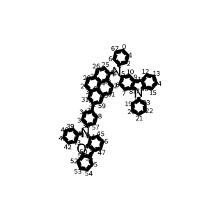 c1ccc(N(c2ccc3c(c2)c2ccccc2n3-c2ccccc2)c2ccc3ccc4cc(-c5ccc(N(c6ccccc6)c6cccc7c6oc6ccccc67)cc5)cc5ccc2c3c45)cc1